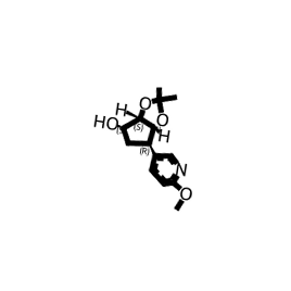 COc1ccc([C@H]2C[C@H](O)[C@@H]3OC(C)(C)O[C@@H]32)cn1